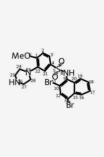 COc1ccc(S(=O)(=O)Nc2c(Br)cc(Br)c3ccccc23)cc1N1CCNCC1